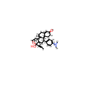 CC#C[C@@]1(O)OCC[C@H]2[C@@H]3CCC4=CC(=O)CCC4=C3C(c3ccc(N(C)C)cc3)C[C@@]21C